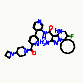 Nc1nn2c(c1C(=O)Nc1cnccc1-c1ccc(C(=O)N3CCC(N4CCC4)CC3)nc1)NCC(F)C21CCCCCCCC1